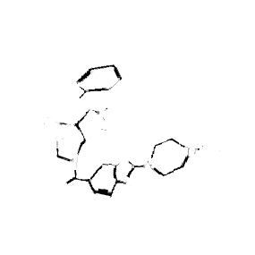 CC(C)CN(C[C@@H](O)[C@H](Cc1ccccc1)NC(=O)O)C(=O)c1ccc2nc(N3CCN(C)CC3)oc2c1